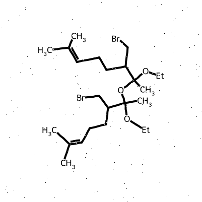 CCOC(C)(OC(C)(OCC)C(CBr)CCC=C(C)C)C(CBr)CCC=C(C)C